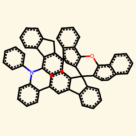 c1ccc(N(c2ccccc2-c2ccc3c(c2)-c2ccccc2C32c3ccc4ccccc4c3Oc3c2ccc2ccccc32)c2cccc3c2-c2ccccc2C3)cc1